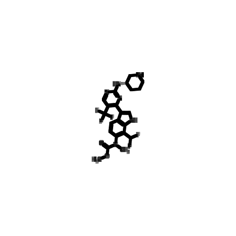 COC(=O)N(C)c1ccc2c(-c3nc(N[C@H]4CCCNC4)ncc3C(F)(F)F)c[nH]c2c1C(F)F